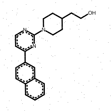 OCCC1CCN(c2nccc(-c3ccc4ccccc4c3)n2)CC1